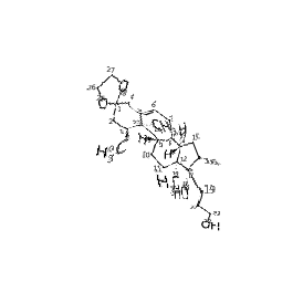 C[C@H]1CC2(CC3=CC[C@@H]4[C@H](CC[C@@]5(C)[C@H]4CC[C@@]5(O)CCCO)[C@]31C)OCCO2